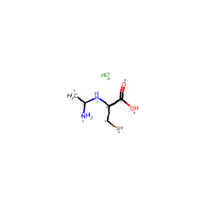 CC(N)NC(CS)C(=O)O.Cl